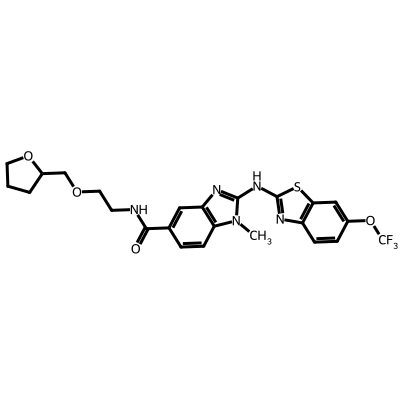 Cn1c(Nc2nc3ccc(OC(F)(F)F)cc3s2)nc2cc(C(=O)NCCOCC3CCCO3)ccc21